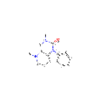 CN1CC2c3c(c4ccccc4n3C1=O)CCN2C